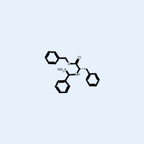 O=C(OCc1ccccc1)[C@H](Cc1ccccc1)NC(c1ccccc1)S(=O)(=O)O